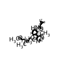 COCCN(C)CCOc1ccc(NC(=O)C2CC2)cc1-c1c(C)ncnc1C